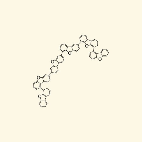 C1=Cc2c(oc3ccccc23)C(c2cccc3oc4cc(-c5ccc6c(c5)oc5cc(-c7cccc8c7oc7ccc(-c9cccc%10c9oc9c(-c%11cccc%12oc%13ccccc%13c%11%12)cccc9%10)cc78)ccc56)ccc4c23)C1